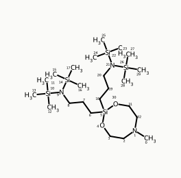 CN1CCO[Si](CCCN([Si](C)(C)C)[Si](C)(C)C)(CCCN([Si](C)(C)C)[Si](C)(C)C)OCC1